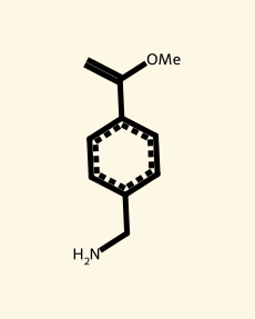 C=C(OC)c1ccc(CN)cc1